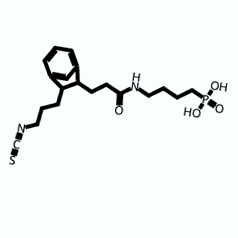 O=C(CCC1c2cccc(c2)C1CCCN=C=S)NCCCCP(=O)(O)O